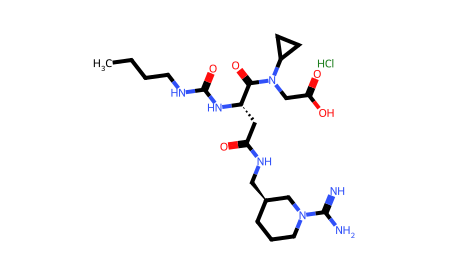 CCCCNC(=O)N[C@@H](CC(=O)NC[C@@H]1CCCN(C(=N)N)C1)C(=O)N(CC(=O)O)C1CC1.Cl